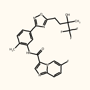 Cc1ccc(-c2noc(CCC(C)(O)C(F)(F)F)n2)cc1NC(=O)c1cnc2ccc(F)cn12